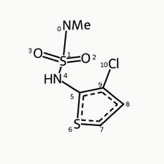 CNS(=O)(=O)Nc1sccc1Cl